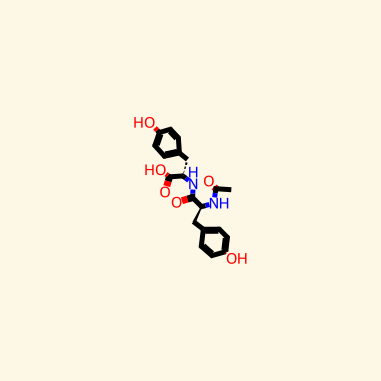 CC(=O)N[C@@H](Cc1ccc(O)cc1)C(=O)N[C@@H](Cc1ccc(O)cc1)C(=O)O